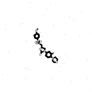 COc1ccc(S(=O)(=O)NCC2CN(c3ccc(N4CCOCC4)c(F)c3)C(=O)O2)cc1